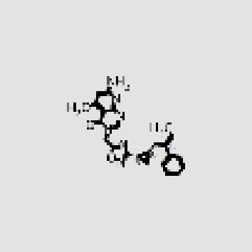 C/C=C(\C[C@H]1C[C@@H]1c1noc(Cn2cnc3nc(N)cc(C)c3c2=O)n1)c1ccccc1